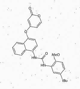 COc1ccc(C(C)(C)C)cc1NC(=O)Nc1ccc(Oc2ccoc(=O)c2)c2ccccc12